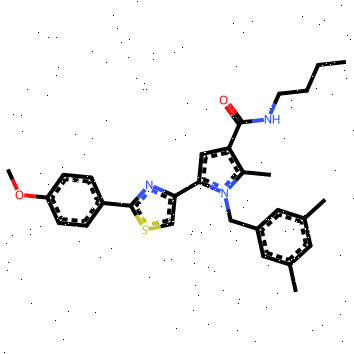 CCCCNC(=O)c1cc(-c2csc(-c3ccc(OC)cc3)n2)n(Cc2cc(C)cc(C)c2)c1C